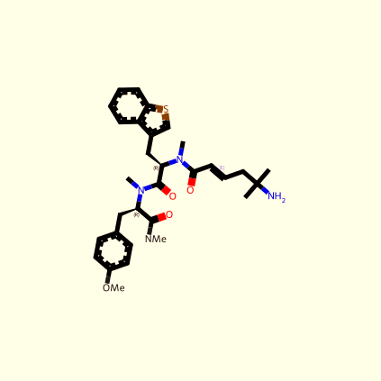 CNC(=O)[C@@H](Cc1ccc(OC)cc1)N(C)C(=O)[C@@H](Cc1csc2ccccc12)N(C)C(=O)/C=C/CC(C)(C)N